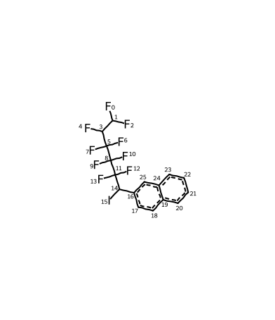 FC(F)C(F)C(F)(F)C(F)(F)C(F)(F)C(I)c1ccc2ccccc2c1